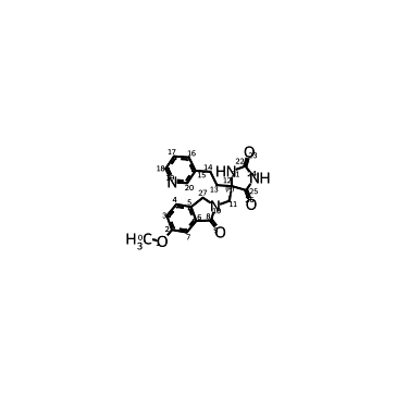 COc1ccc2c(c1)C(=O)N(C[C@@]1(CCc3cccnc3)NC(=O)NC1=O)C2